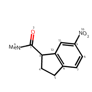 CNC(=O)C1CCc2ccc([N+](=O)[O-])cc21